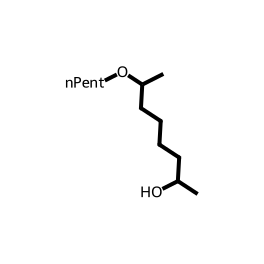 CCCCCOC(C)CCCCC(C)O